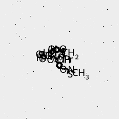 C=S(=O)(c1ccc2c(c1)OCO2)N(CC(C)C)C[C@@H](O)[C@H](Cc1ccc(OCC2CSC(C)=N2)cc1)NC(=O)O[C@@H]1CO[C@H]2OCC[C@H]21